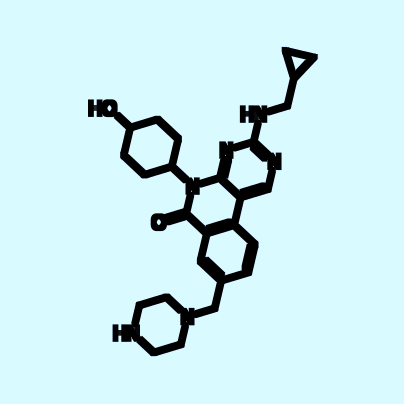 O=c1c2cc(CN3CCNCC3)ccc2c2cnc(NCC3CC3)nc2n1C1CCC(O)CC1